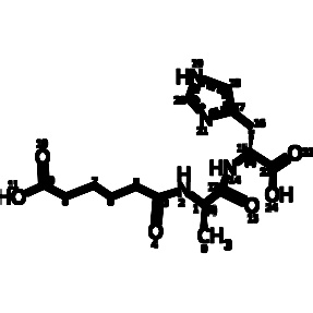 C[C@@H](NC(=O)CCCCC(=O)O)C(=O)N[C@H](Cc1c[nH]cn1)C(=O)O